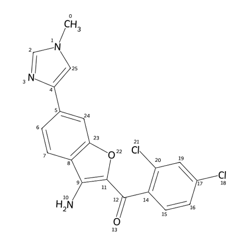 Cn1cnc(-c2ccc3c(N)c(C(=O)c4ccc(Cl)cc4Cl)oc3c2)c1